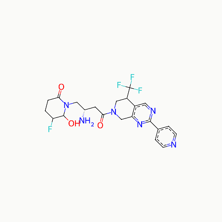 N[C@@H](CC(=O)N1Cc2nc(-c3ccncc3)ncc2C(C(F)(F)F)C1)CN1C(=O)CCC(F)C1O